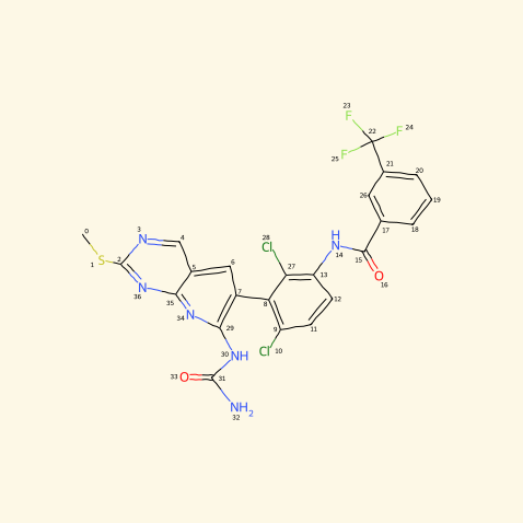 CSc1ncc2cc(-c3c(Cl)ccc(NC(=O)c4cccc(C(F)(F)F)c4)c3Cl)c(NC(N)=O)nc2n1